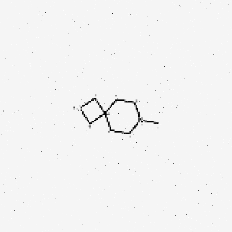 CN1CCC2(CC1)COC2